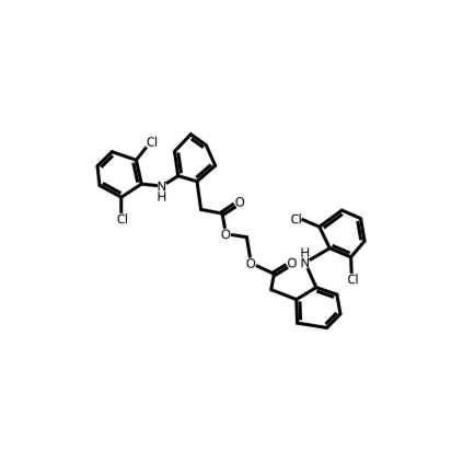 O=C(Cc1ccccc1Nc1c(Cl)cccc1Cl)OCOC(=O)Cc1ccccc1Nc1c(Cl)cccc1Cl